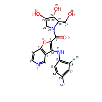 O=C(c1oc2ccncc2c1Nc1ccc(I)cc1F)N1C[C@@H](O)[C@H](O)[C@H]1CO